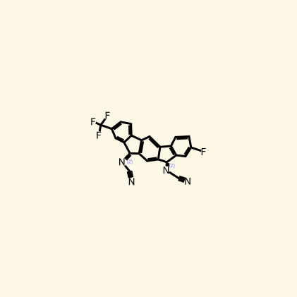 N#C/N=c1\c2cc(F)ccc2c2cc3c(cc12)/c(=N\C#N)c1cc(C(F)(F)F)ccc13